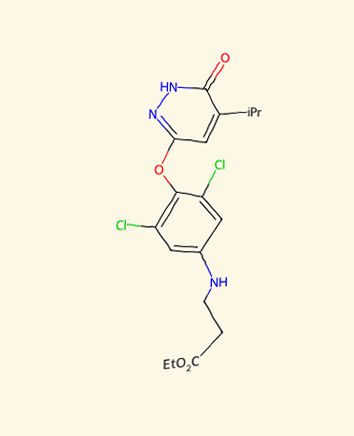 CCOC(=O)CCNc1cc(Cl)c(Oc2cc(C(C)C)c(=O)[nH]n2)c(Cl)c1